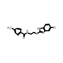 Cc1ccc(C(=O)NCCSc2nc3cc(Cl)ccc3[nH]2)cc1